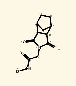 CCNC(=O)CN1C(=O)C2C3CCC(C3)C2C1=O